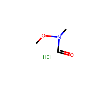 CON(C)C=O.Cl